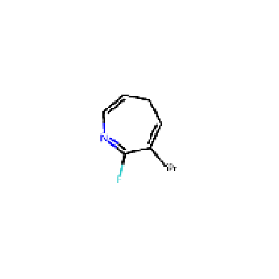 CC(C)C1=CCC=CN=C1F